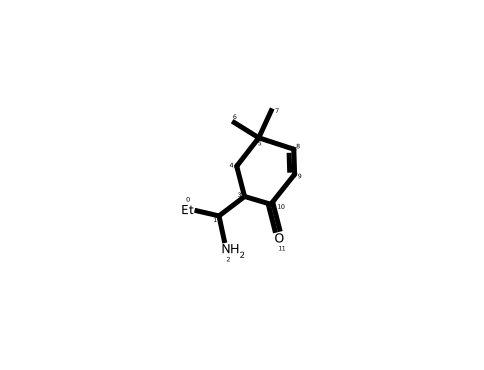 CCC(N)C1CC(C)(C)C=CC1=O